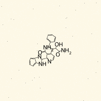 NC(=O)c1c(C(Cc2ccccc2)C(O)C(N)=O)ccnc1-c1nc2ccccc2[nH]1